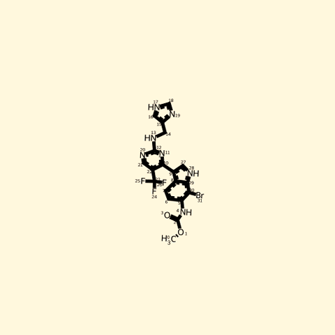 COC(=O)Nc1ccc2c(-c3nc(NCc4c[nH]cn4)ncc3C(F)(F)F)c[nH]c2c1Br